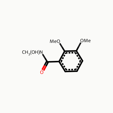 COc1cccc(C(=O)N(C)O)c1OC